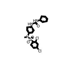 CN(c1ccc(NC(=O)Nc2ccccc2)cc1)S(=O)(=O)c1ccc(Cl)cc1Cl